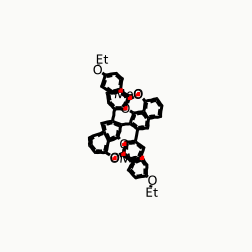 CCOc1ccc(C(=O)Oc2c(-c3c(-c4ccccc4)cc4cccc(OC)c4c3OC(=O)c3ccc(OCC)cc3)c(-c3ccccc3)cc3cccc(OC)c23)cc1